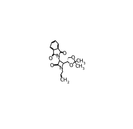 C=CCN1C(=O)[C@@H](N2C(=O)c3ccccc3C2=O)[C@H]1[C@@H]1COC(C)(C)O1